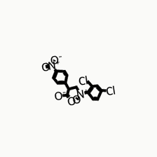 O=C([O-])C(C[N+](=O)c1ccc(Cl)cc1Cl)c1ccc([N+](=O)[O-])cc1